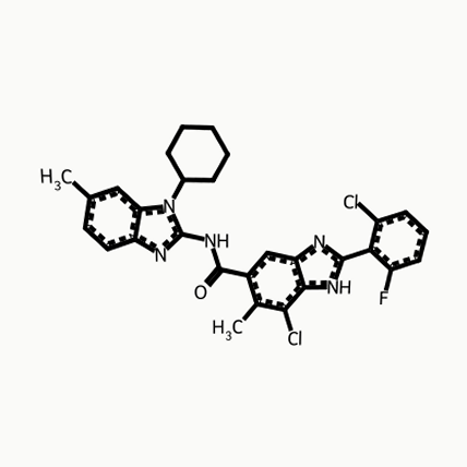 Cc1ccc2nc(NC(=O)c3cc4nc(-c5c(F)cccc5Cl)[nH]c4c(Cl)c3C)n(C3CCCCC3)c2c1